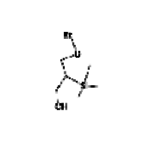 [CH2]COCC(CO)[Si](C)(C)C